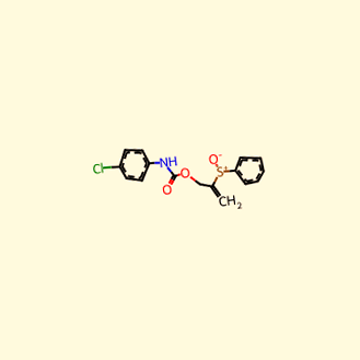 C=C(COC(=O)Nc1ccc(Cl)cc1)[S+]([O-])c1ccccc1